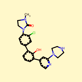 CN1CCN(c2ccc(-c3cccc(-c4ccnc(N5CCNCC5)c4)c3O)cc2Cl)C1=O